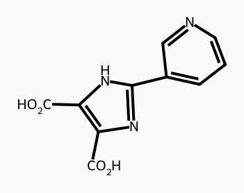 O=C(O)c1nc(-c2cccnc2)[nH]c1C(=O)O